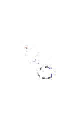 O=C1CCN(c2cccnc2Cl)CC1